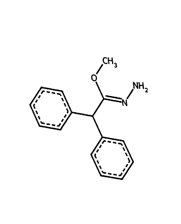 COC(=NN)C(c1ccccc1)c1ccccc1